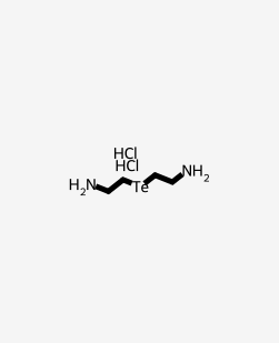 Cl.Cl.NCC[Te]CCN